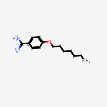 CCCCCCCOc1ccc(C(=N)N)cc1